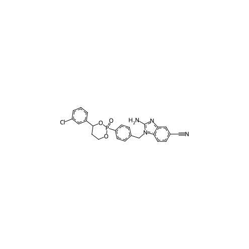 N#Cc1ccc2c(c1)nc(N)n2Cc1ccc(P2(=O)OCCC(c3cccc(Cl)c3)O2)cc1